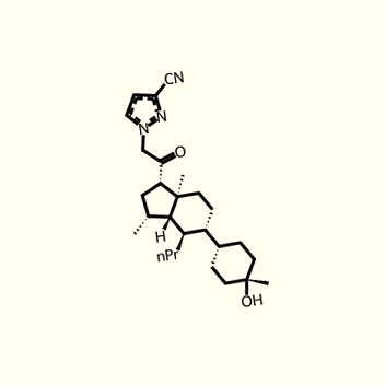 CCC[C@H]1[C@@H]2[C@H](C)C[C@H](C(=O)Cn3ccc(C#N)n3)[C@@]2(C)CC[C@@H]1[C@H]1CC[C@@](C)(O)CC1